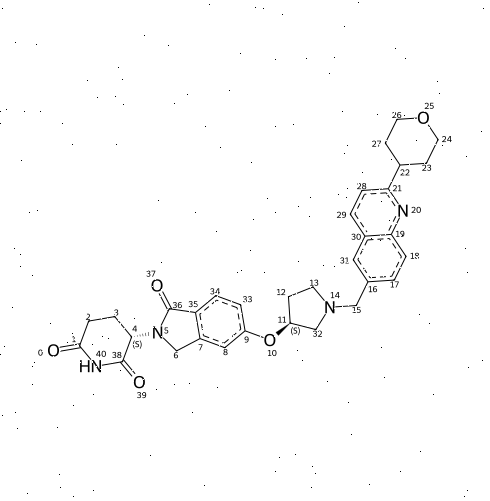 O=C1CC[C@H](N2Cc3cc(O[C@H]4CCN(Cc5ccc6nc(C7CCOCC7)ccc6c5)C4)ccc3C2=O)C(=O)N1